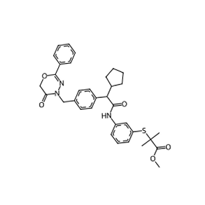 COC(=O)C(C)(C)Sc1cccc(NC(=O)C(c2ccc(CN3N=C(c4ccccc4)OCC3=O)cc2)C2CCCC2)c1